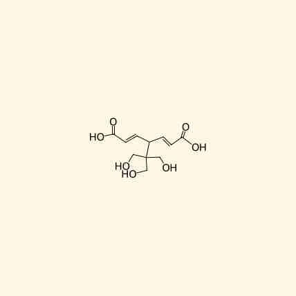 O=C(O)C=CC(C=CC(=O)O)C(CO)(CO)CO